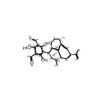 C=C(C)[C@@H]1C=C2[C@@H](C)CC[C@H]([C@@H](CC(C)C)c3c(O)c(C=O)c(O)c(C=O)c3O)[C@]2(C)CC1